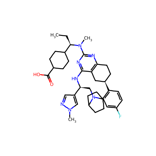 CC[C@H](C1CCC(C(=O)O)CC1)N(C)c1nc2c(c(N[C@@H](CN3C4CCC3CC4)c3cnn(C)c3)n1)C[C@H](c1ccc(F)cc1)CC2